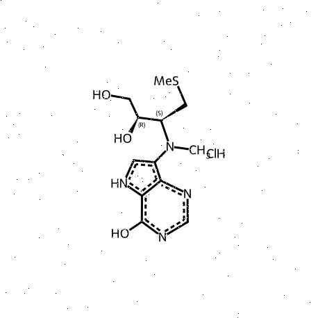 CSC[C@H]([C@@H](O)CO)N(C)c1c[nH]c2c(O)ncnc12.Cl